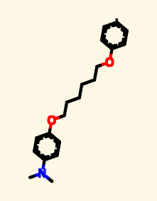 CN(C)c1ccc(OCCCCCCOc2cc[c]cc2)cc1